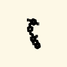 O=c1cnn(CCN2CCC(Cc3cc(Cl)ccc3Br)CC2)c(=O)n1Cc1ccccc1